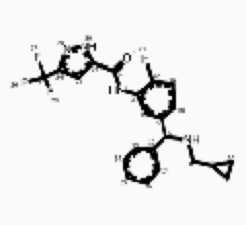 O=C(Nc1cc(C(NCC2CC2)c2ccccc2)ccc1F)c1cc(C(F)(F)F)n[nH]1